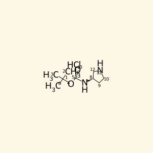 CC(C)(C)OC(=O)N[C@@H]1CCNC1.Cl